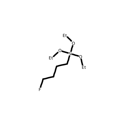 CCO[Si](CCCCF)(OCC)OCC